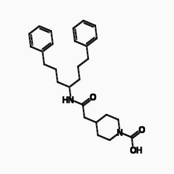 O=C(CC1CCN(C(=O)O)CC1)NC(CCCc1ccccc1)CCCc1ccccc1